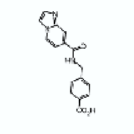 O=C(O)c1ccc(CNC(=O)c2ccn3ccnc3c2)cc1